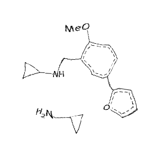 COc1ccc(-c2ccco2)cc1CNC1CC1.NC1CC1